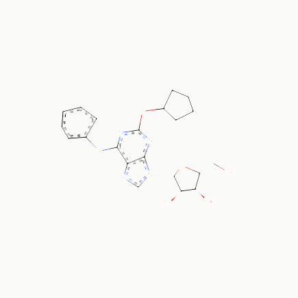 OC[C@H]1O[C@@H](n2cnc3c(Nc4ccccc4)nc(OC4CCCC4)nc32)[C@H](O)[C@@H]1O